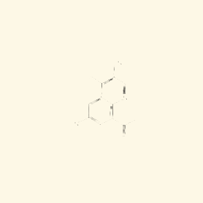 N#Cc1cnc2c(C(=O)F)cc([N+](=O)[O-])cc2c1Cl